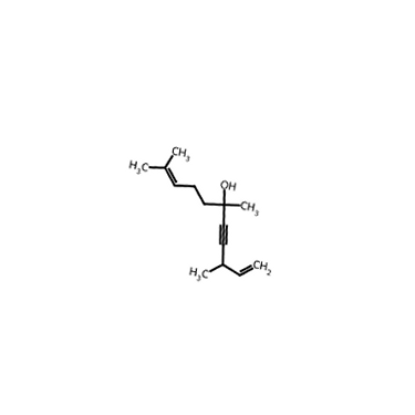 C=CC(C)C#CC(C)(O)CCC=C(C)C